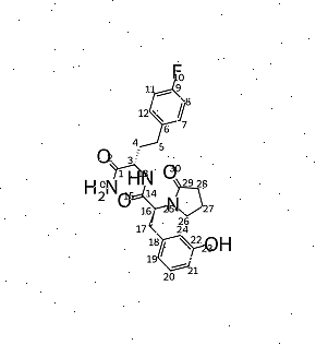 NC(=O)[C@H](CCc1ccc(F)cc1)NC(=O)[C@H](Cc1cccc(O)c1)N1CCCC1=O